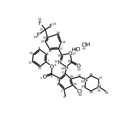 Cc1cc(C(=O)Oc2ccccc2)c(-n2nc(-c3ccc(C(F)(F)F)cc3)oc2=O)c(CN2CCN(C)CC2)c1Cl.Cl.Cl